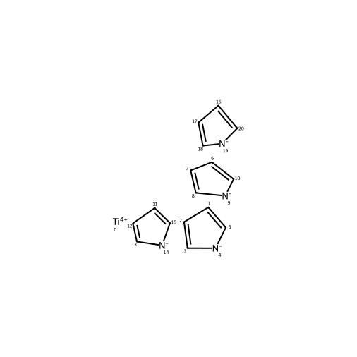 [Ti+4].c1cc[n-]c1.c1cc[n-]c1.c1cc[n-]c1.c1cc[n-]c1